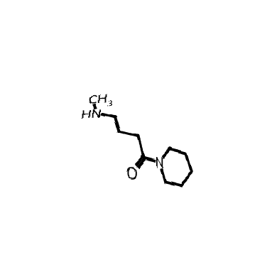 CNCCCC(=O)N1CCCCC1